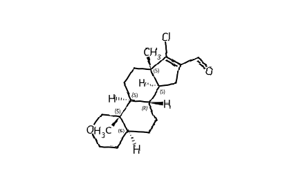 C[C@]12COCC[C@@H]1CC[C@@H]1[C@@H]2CC[C@]2(C)C(Cl)=C(C=O)C[C@@H]12